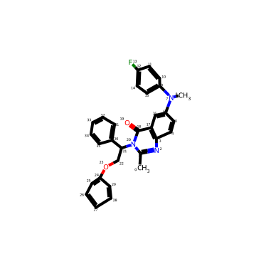 Cc1nc2ccc(N(C)c3ccc(F)cc3)cc2c(=O)n1C(COc1ccccc1)c1ccccc1